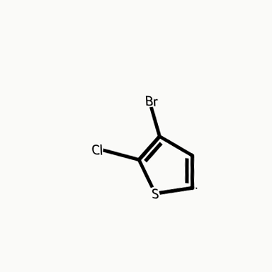 Clc1s[c]cc1Br